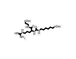 CCCCCCCCCCCCCCCCNC(=O)NC(CCCNC(=N)N)C(=O)NCCCCCCCCCCCC